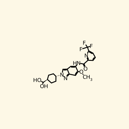 COc1cc2nn([C@H]3CC[C@H](C(O)O)CC3)cc2cc1NC(=O)c1cccc(C(F)(F)F)n1